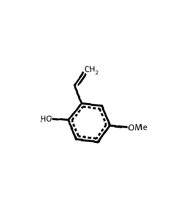 C=Cc1cc(OC)ccc1O